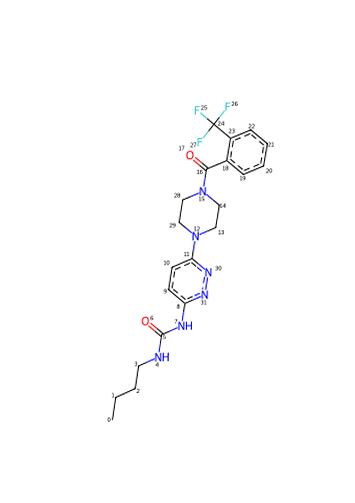 CCCCNC(=O)Nc1ccc(N2CCN(C(=O)c3ccccc3C(F)(F)F)CC2)nn1